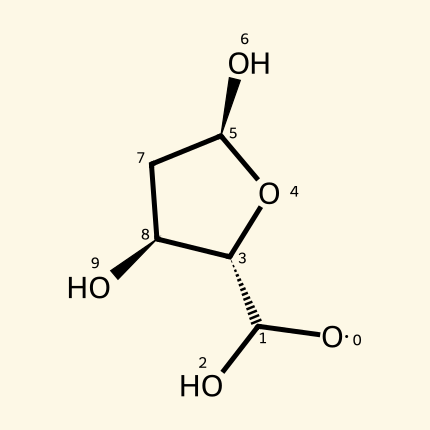 [O]C(O)[C@H]1O[C@H](O)C[C@@H]1O